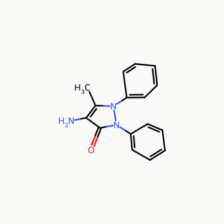 Cc1c(N)c(=O)n(-c2ccccc2)n1-c1ccccc1